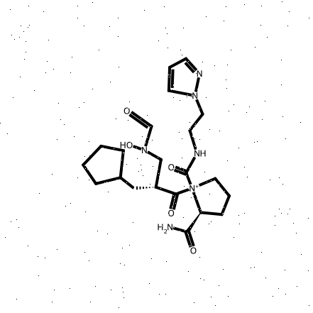 NC(=O)[C@@H]1CCC[N+]1(C(=O)NCCn1cccn1)C(=O)[C@H](CC1CCCC1)CN(O)C=O